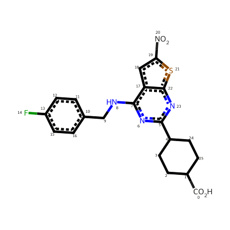 O=C(O)C1CCC(c2nc(NCc3ccc(F)cc3)c3cc([N+](=O)[O-])sc3n2)CC1